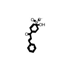 O=C(C=Cc1ccccc1)C1=CCC(O)([N+](=O)[O-])C=C1